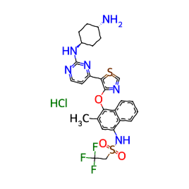 Cc1cc(NS(=O)(=O)CC(F)(F)F)c2ccccc2c1Oc1ncsc1-c1ccnc(N[C@H]2CC[C@H](N)CC2)n1.Cl